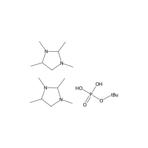 CC(C)(C)OP(=O)(O)O.CC1CN(C)C(C)N1C.CC1CN(C)C(C)N1C